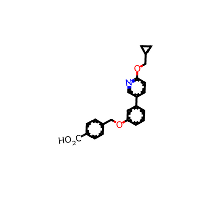 O=C(O)c1ccc(COc2cccc(-c3ccc(OCC4CC4)nc3)c2)cc1